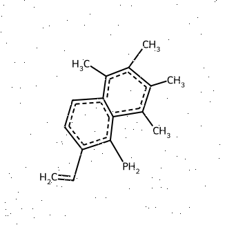 C=Cc1ccc2c(C)c(C)c(C)c(C)c2c1P